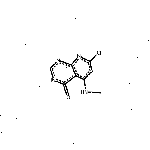 CNc1cc(Cl)nc2nc[nH]c(=O)c12